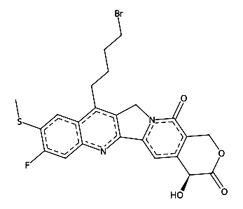 CSc1cc2c(CCCCBr)c3c(nc2cc1F)-c1cc2c(c(=O)n1C3)COC(=O)[C@H]2O